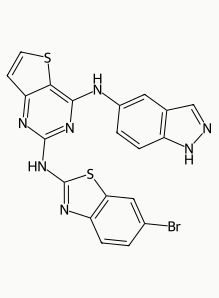 Brc1ccc2nc(Nc3nc(Nc4ccc5[nH]ncc5c4)c4sccc4n3)sc2c1